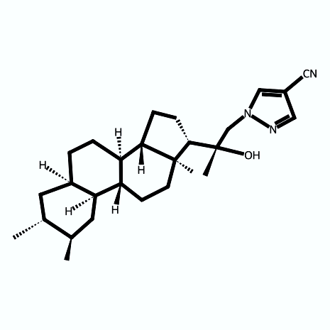 C[C@@H]1C[C@H]2CC[C@@H]3[C@H](CC[C@@]4(C)[C@H]3CC[C@@H]4[C@@](C)(O)Cn3cc(C#N)cn3)[C@H]2C[C@H]1C